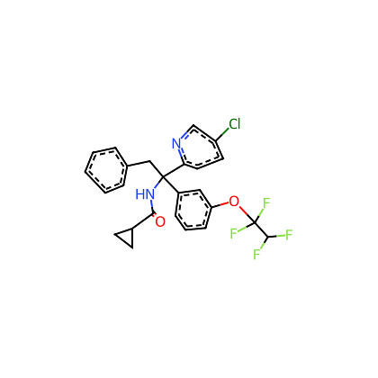 O=C(NC(Cc1ccccc1)(c1cccc(OC(F)(F)C(F)F)c1)c1ccc(Cl)cn1)C1CC1